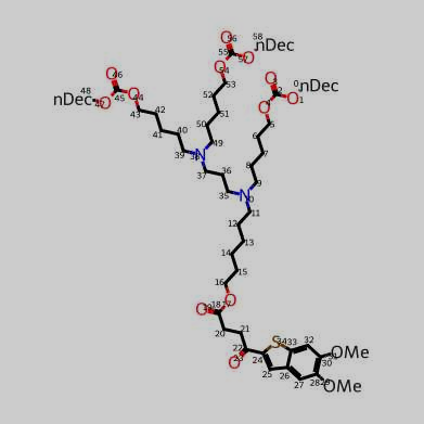 CCCCCCCCCCOC(=O)OCCCCCN(CCCCCCOC(=O)CCC(=O)c1cc2cc(OC)c(OC)cc2s1)CCCN(CCCCCOC(=O)OCCCCCCCCCC)CCCCCOC(=O)OCCCCCCCCCC